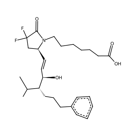 CC(C)[C@@H](CCCc1ccccc1)[C@H](O)/C=C/[C@H]1CC(F)(F)C(=O)N1CCCCCCC(=O)O